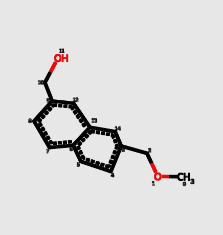 COCc1ccc2ccc(CO)cc2c1